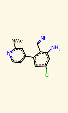 CNc1cc(-c2cc(Cl)cc(N)c2C=N)ccn1